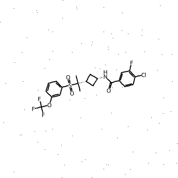 CC(C)([C@H]1C[C@@H](NC(=O)c2ccc(Cl)c(F)c2)C1)S(=O)(=O)c1cccc(OC(F)(F)F)c1